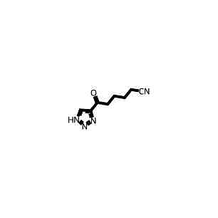 N#CCCCCC(=O)c1c[nH]nn1